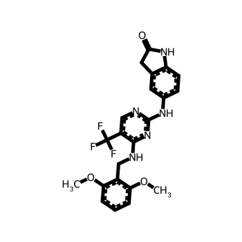 COc1cccc(OC)c1CNc1nc(Nc2ccc3c(c2)CC(=O)N3)ncc1C(F)(F)F